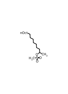 CCCCCCCCCCCCCCCC(C)OS(C)(=O)=O